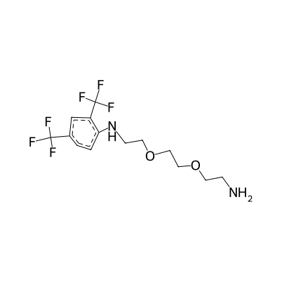 NCCOCCOCCNc1ccc(C(F)(F)F)cc1C(F)(F)F